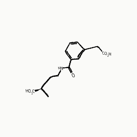 C[C@H](CCNC(=O)c1cccc(CC(=O)O)c1)C(=O)O